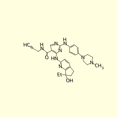 C#CCNC(=O)c1cnc(Nc2ccc(N3CCN(C)CC3)cc2)nc1Nc1ccc2c(n1)C(O)(CC)CC2